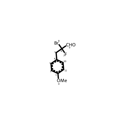 COc1ccc(CC(F)(Br)C=O)cc1